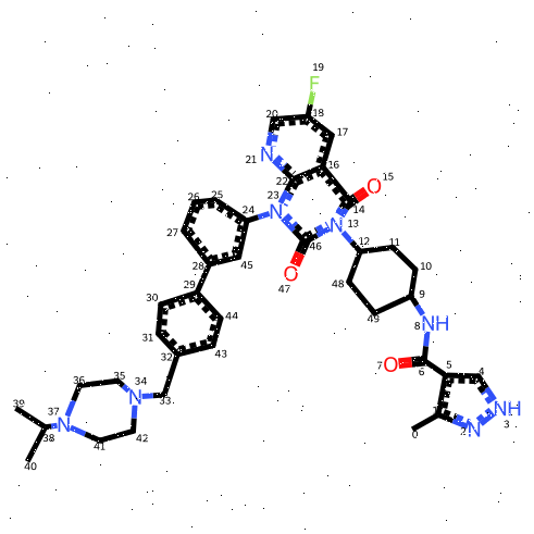 Cc1n[nH]cc1C(=O)NC1CCC(n2c(=O)c3cc(F)cnc3n(-c3cccc(-c4ccc(CN5CCN(C(C)C)CC5)cc4)c3)c2=O)CC1